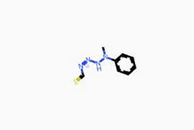 CN(N/N=N\C=S)c1ccccc1